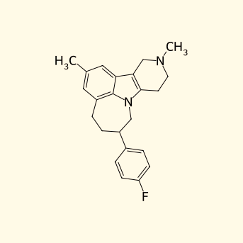 Cc1cc2c3c(c1)c1c(n3CC(c3ccc(F)cc3)CC2)CCN(C)C1